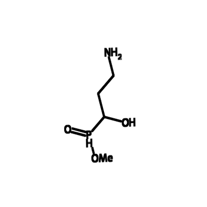 CO[PH](=O)C(O)CCN